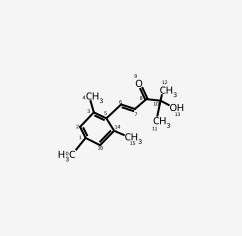 Cc1cc(C)c(/C=C/C(=O)C(C)(C)O)c(C)c1